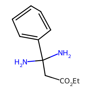 CCOC(=O)CC(N)(N)c1ccccc1